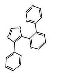 c1ccc(-c2ncoc2-c2ncccc2-c2ccncn2)cc1